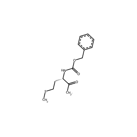 [CH2]C(=O)[C@H](CCSC)NC(=O)OCc1ccccc1